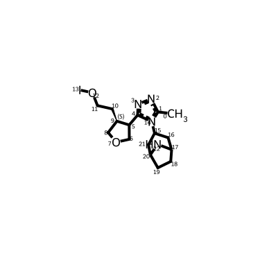 Cc1nnc(C2COC[C@H]2CCOI)n1C1CC2CCC(C1)N2